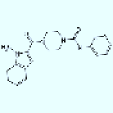 Cn1c(C(=O)N2CCN(C(=O)Nc3cccnc3)CC2)cc2c1CCC=C2